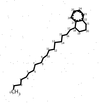 CCCCCCCCCCCCCCCCCCC1CCCc2ccccc21